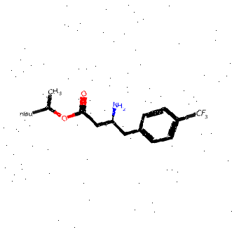 CCCCC(C)OC(=O)C[C@@H](N)Cc1ccc(C(F)(F)F)cc1